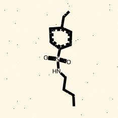 CCCCNS(=O)(=O)c1ccc(CC)cc1